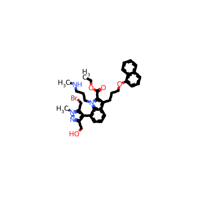 CCOC(=O)c1c(CCCOc2cccc3ccccc23)c2cccc(-c3c(CO)nn(C)c3CBr)c2n1CCCNC